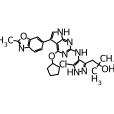 Cc1nc2ccc(-c3c[nH]c4nc(Nc5c(CC(C)(C)O)n[nH]c5Cl)nc(OC5CCCC5)c34)cc2o1